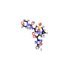 CC[C@H](NC(=O)[C@H](CS(=O)(=O)CC1CC1)NC(=O)N1CCOCC1)C(=O)c1noc(C(F)(F)F)n1